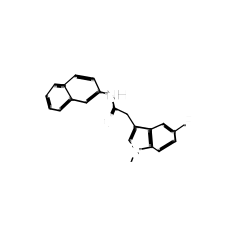 Cn1cc([CH]C(=O)Nc2ccc3ccccc3c2)c2cc(F)ccc21